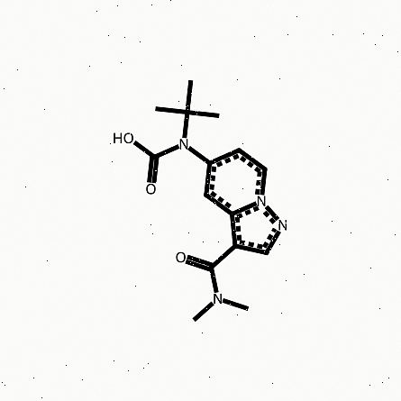 CN(C)C(=O)c1cnn2ccc(N(C(=O)O)C(C)(C)C)cc12